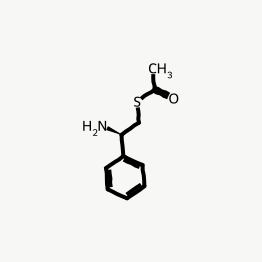 CC(=O)SC[C@H](N)c1ccccc1